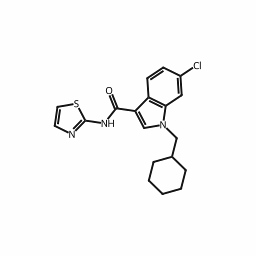 O=C(Nc1nccs1)c1cn(CC2CCCCC2)c2cc(Cl)ccc12